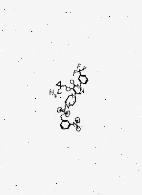 CC1(COc2c(N3CCN(S(=O)(=O)Cc4cccc([N+](=O)[O-])c4)CC3)cnn(-c3cccc(C(F)(F)F)c3)c2=O)CC1